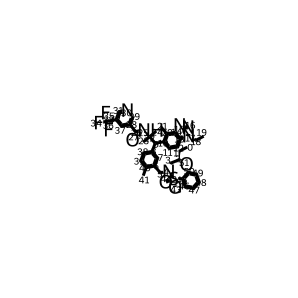 CC[C@@H]1CN(Cc2cc(C(c3ccc4c(nnn4CC)c3C)C(C)(C)NC(=O)c3cncc(C(F)(F)F)c3)ccc2C)S(=O)(=O)c2ccccc2O1